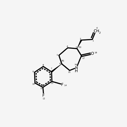 C=CC[C@@H]1CC[C@H](c2cccc(F)c2F)CNC1=O